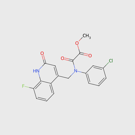 COC(=O)C(=O)N(Cc1cc(=O)[nH]c2c(F)cccc12)c1cccc(Cl)c1